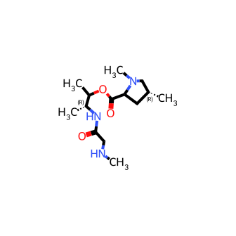 CNCC(=O)N[C@H](C)C(C)OC(=O)C1C[C@@H](C)CN1C